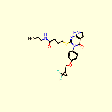 N#CCCNC(=O)CCCSc1nc2[nH]ccc2c(=O)n1-c1ccc(OCC2CC2(F)F)cc1